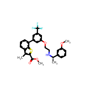 COC(=O)c1sc2c(-c3cc(OCCN[C@H](C)c4cccc(OC)c4)cc(C(F)(F)F)c3)cccc2c1C